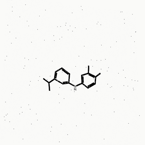 Cc1ccc(Nc2cccc(C(C)C)c2)cc1C